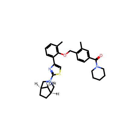 Cc1cc(C(=O)N2CCCCC2)ccc1COc1c(C)cccc1-c1csc(N2C[C@H]3CC[C@@H](C2)[C@H]3C(=O)O)n1